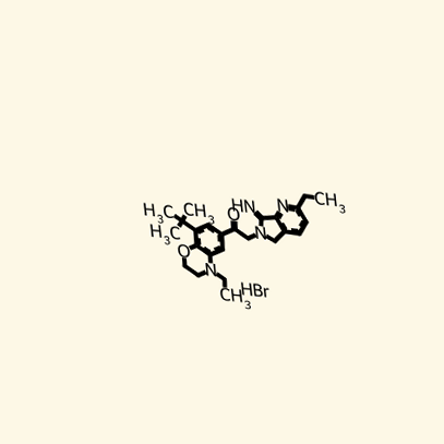 Br.CCc1ccc2c(n1)C(=N)N(CC(=O)c1cc3c(c(C(C)(C)C)c1)OCCN3CC)C2